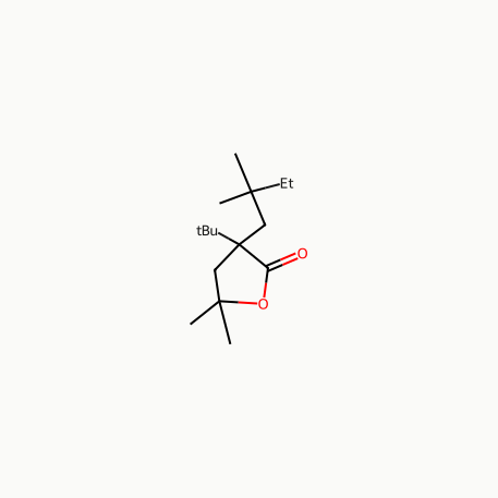 CCC(C)(C)CC1(C(C)(C)C)CC(C)(C)OC1=O